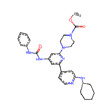 CC(C)(C)OC(=O)N1CCN(c2cc(NC(=O)Nc3ccccc3)cc(-c3ccnc(NC4CCCCC4)c3)n2)CC1